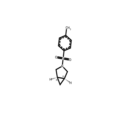 Cc1ccc(S(=O)(=O)N2C[C@H]3C[C@H]3C2)cc1